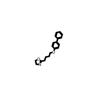 c1ccc(-c2ccc(OCCCCC3=NCCO3)cc2)cc1